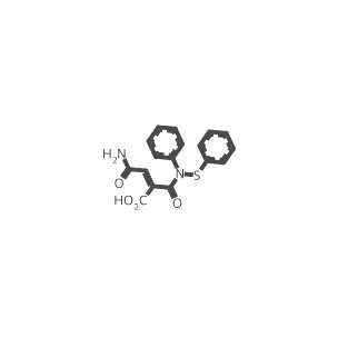 NC(=O)C=C(C(=O)O)C(=O)N(Sc1ccccc1)c1ccccc1